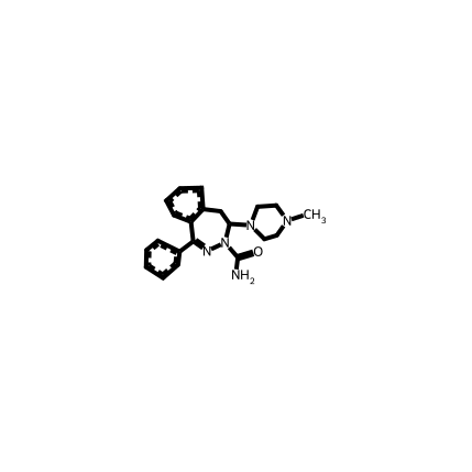 CN1CCN(C2Cc3ccccc3C(c3ccccc3)=NN2C(N)=O)CC1